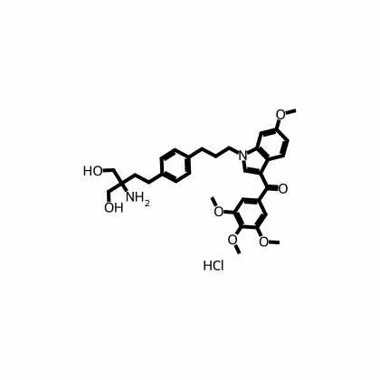 COc1ccc2c(C(=O)c3cc(OC)c(OC)c(OC)c3)cn(CCCc3ccc(CCC(N)(CO)CO)cc3)c2c1.Cl